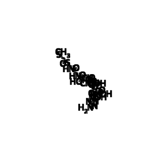 CSCC=CC(=O)SCCNC(=O)CCNC(=O)[C@H](O)C(C)(C)COP(=O)(O)OP(=O)(O)OC[C@H]1O[C@@H](n2cnc3c(N)ncnc32)[C@H](O)[C@@H]1OP(=O)(O)O